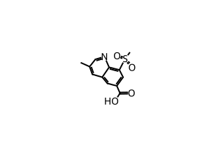 Cc1cnc2c(S(C)(=O)=O)cc(C(=O)O)cc2c1